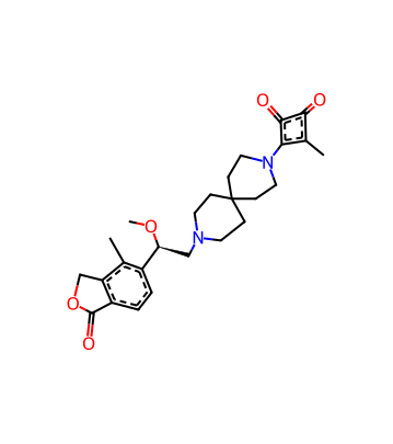 CO[C@@H](CN1CCC2(CC1)CCN(c1c(C)c(=O)c1=O)CC2)c1ccc2c(c1C)COC2=O